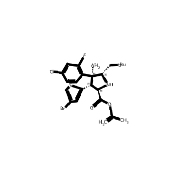 C=C(C)OC(=O)[C@@H]1N[C@@H](CC(C)(C)C)[C@](N)(c2ccc(Cl)cc2F)[C@H]1c1cc(Br)cs1